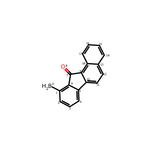 Bc1cccc2c1C(=O)c1c-2ccc2ccccc12